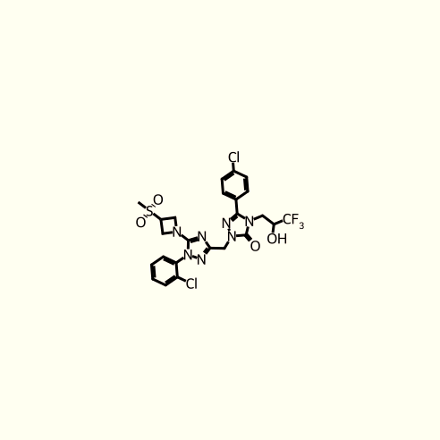 CS(=O)(=O)C1CN(c2nc(Cn3nc(-c4ccc(Cl)cc4)n(CC(O)C(F)(F)F)c3=O)nn2-c2ccccc2Cl)C1